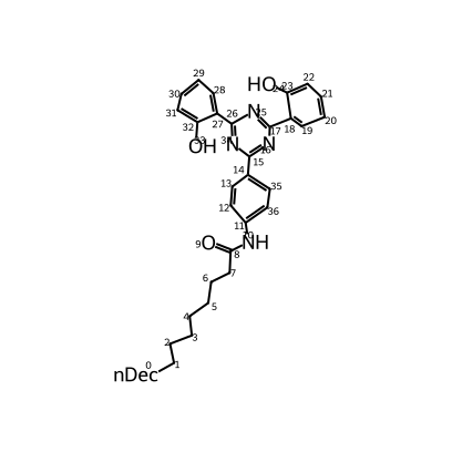 CCCCCCCCCCCCCCCCCC(=O)Nc1ccc(-c2nc(-c3ccccc3O)nc(-c3ccccc3O)n2)cc1